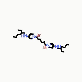 CCCCC(CC)CNc1cc[n+](C(Br)CCCCC(Br)[n+]2ccc(NCC(CC)CCCC)cc2)cc1